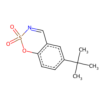 CC(C)(C)c1ccc2c(c1)C=NS(=O)(=O)O2